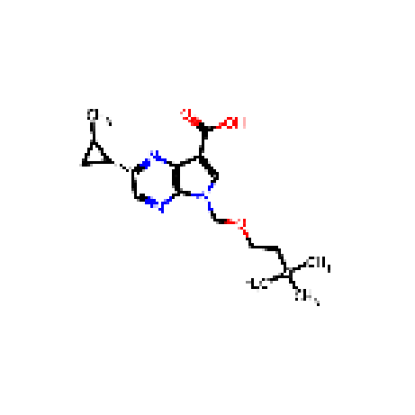 C[C@@H]1C[C@H]1c1cnc2c(n1)c(C(=O)O)cn2COCC[Si](C)(C)C